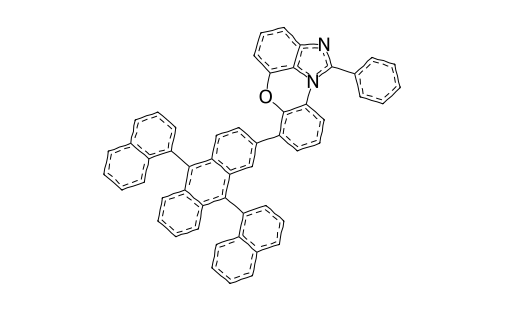 c1ccc(-c2nc3cccc4c3n2-c2cccc(-c3ccc5c(-c6cccc7ccccc67)c6ccccc6c(-c6cccc7ccccc67)c5c3)c2O4)cc1